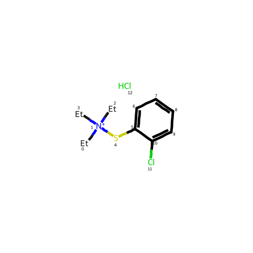 CC[N+](CC)(CC)Sc1ccccc1Cl.Cl